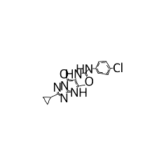 Cc1[nH]c2nc(C3CC3)nn2c(=O)c1NC(=O)Nc1ccc(Cl)cc1